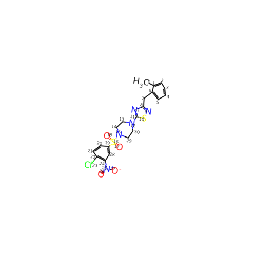 Cc1ccccc1Cc1nsc(N2CCN(S(=O)(=O)c3ccc(Cl)c([N+](=O)[O-])c3)CC2)n1